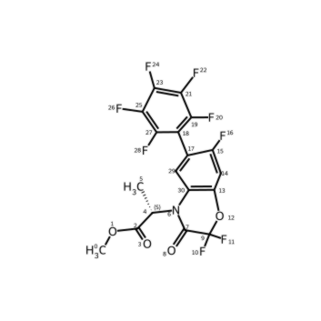 COC(=O)[C@H](C)N1C(=O)C(F)(F)Oc2cc(F)c(-c3c(F)c(F)c(F)c(F)c3F)cc21